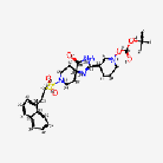 CC(C)(C)OC(=O)ON1CCCC(C2=NC3(CCN(S(=O)(=O)CCc4cccc5ccccc45)CC3)C(=O)N2)C1